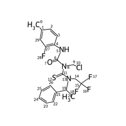 Cc1ccc(NC(=O)N(CCl)C(=S)N(CC(F)(F)F)C(C)c2ccccc2)c(F)c1